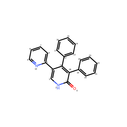 O=c1[nH]cc(-c2ccccn2)c(-c2ccccc2)c1-c1ccccc1